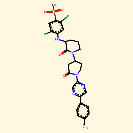 Cc1ccc(-c2cnc(N3CCC(N4CCCC(Nc5cc(F)c(S(C)(=O)=O)cc5F)C4=O)CC3=O)cn2)cc1